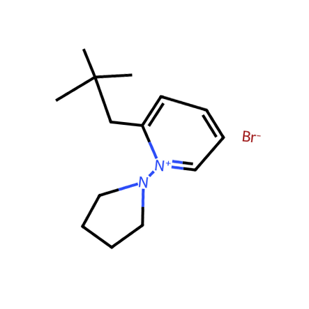 CC(C)(C)Cc1cccc[n+]1N1CCCC1.[Br-]